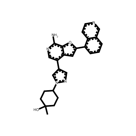 CC1(O)CCC(n2cc(-c3cnc(N)c4oc(-c5cccc6cnccc56)cc34)cn2)CC1